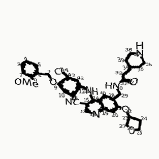 COc1ccccc1COc1ccc(Nc2c(C#N)cnc3cc(OC4CCOC4)c(CNC(=O)C=C4CCNCC4)cc23)cc1Cl